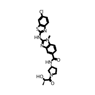 C[C@@H](O)C(=O)N1CC[C@@H](NC(=O)c2ccc3c(c2)nc(Nc2nc4ccc(Cl)cc4s2)n3C)C1